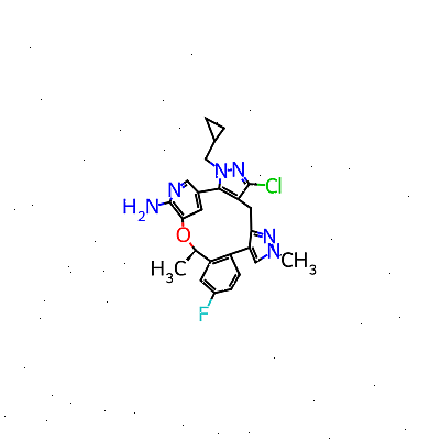 C[C@H]1Oc2cc(cnc2N)-c2c(c(Cl)nn2CC2CC2)Cc2nn(C)cc2-c2ccc(F)cc21